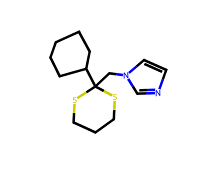 c1cn(CC2(C3CCCCC3)SCCCS2)cn1